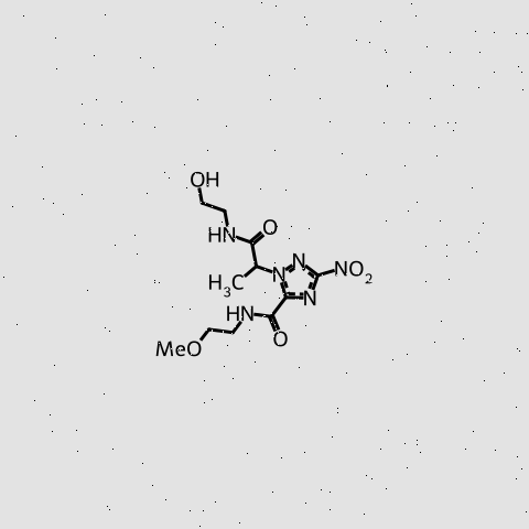 COCCNC(=O)c1nc([N+](=O)[O-])nn1C(C)C(=O)NCCO